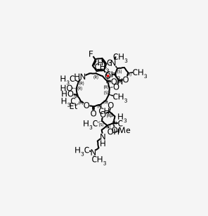 CC[C@H]1OC(=O)[C@H](C)[C@@H](O[C@H]2C[C@@](C)(OC)[C@](O)(CNCCN(C)C)[C@H](C)O2)[C@H](C)[C@@H](O[C@@H]2O[C@H](C)C[C@H](N(C)C)[C@H]2Oc2ccc(F)cc2)[C@](C)(O)C[C@@H](C)CN[C@H](C)[C@@H](O)[C@]1(C)O